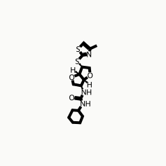 Cc1csc(S[C@H]2CO[C@H]3[C@@H]2OC[C@@H]3NC(=O)NC2CCCCC2)n1